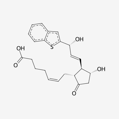 O=C(O)CCC/C=C\C[C@H]1C(=O)C[C@@H](O)[C@@H]1/C=C/[C@@H](O)c1cc2ccccc2s1